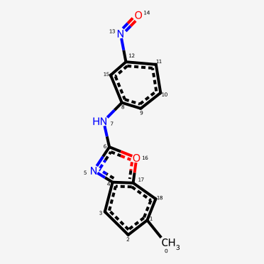 Cc1ccc2nc(Nc3cccc(N=O)c3)oc2c1